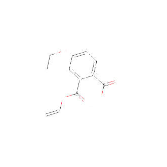 C=COC(=O)c1ccccc1C(=O)O.CCO